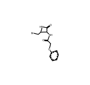 O=C(COc1ccccc1)NC1C(=O)NC1CBr